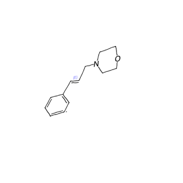 [c]1cccc(/C=C/CN2CCOCC2)c1